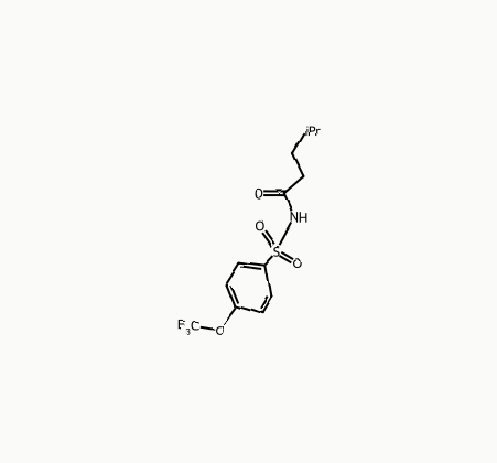 CC(C)CCC(=O)NS(=O)(=O)c1ccc(OC(F)(F)F)cc1